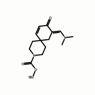 CN(C)C=C1CC2(C=CC1=O)CCN(C(=O)OC(C)(C)C)CC2